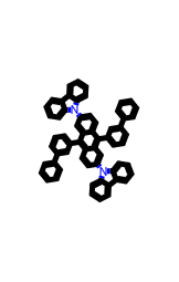 c1ccc(-c2cccc(-c3c4ccc(-n5c6ccccc6c6ccccc65)cc4c(-c4cccc(-c5ccccc5)c4)c4ccc(-n5c6ccccc6c6ccccc65)cc34)c2)cc1